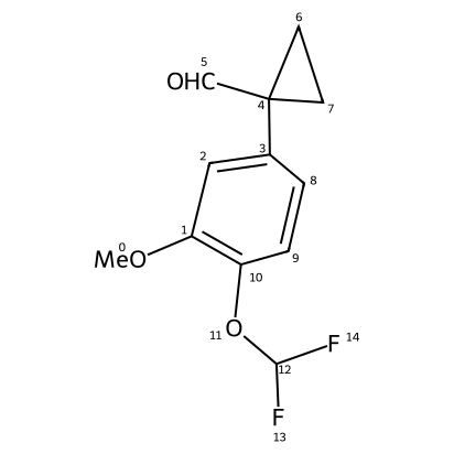 COc1cc(C2(C=O)CC2)ccc1OC(F)F